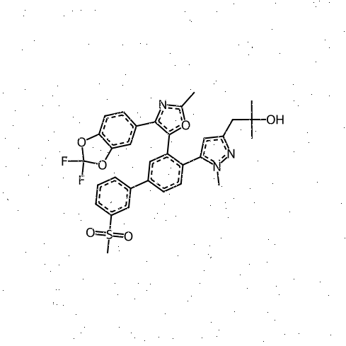 Cc1nc(-c2ccc3c(c2)OC(F)(F)O3)c(-c2cc(-c3cccc(S(C)(=O)=O)c3)ccc2-c2cc(CC(C)(C)O)nn2C)o1